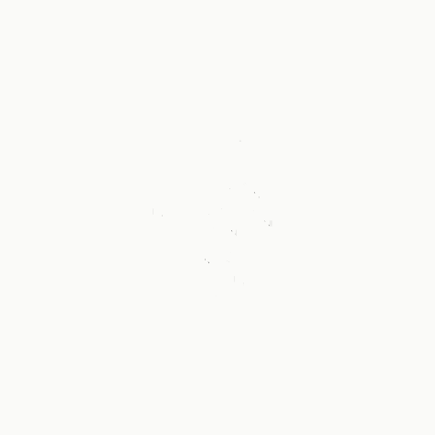 CCCC1C(CN(CC)C(C)=O)=Nc2c(N)nc3cc(Br)ccc3c21